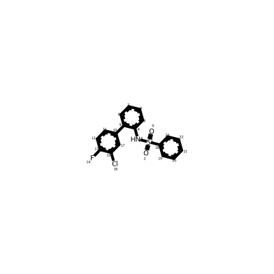 O=S(=O)(Nc1ccccc1-c1ccc(F)c(Cl)c1)c1ccccc1